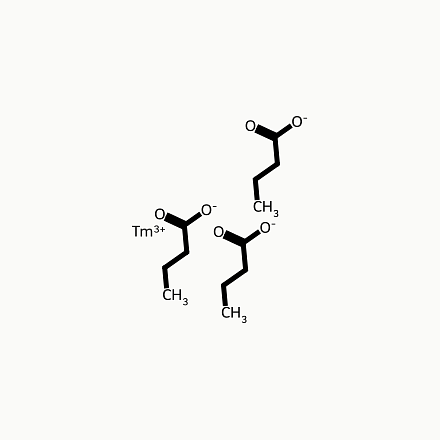 CCCC(=O)[O-].CCCC(=O)[O-].CCCC(=O)[O-].[Tm+3]